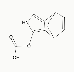 O=C(O)Oc1[nH]cc2c1C1C=CC2CC1